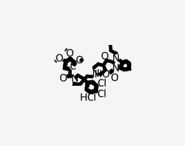 CCCN1c2ccccc2N(C(=O)O)C1C(=O)C1CCN(CCC2(c3ccc(Cl)c(Cl)c3)CCN(C(=O)c3cc(OC)c(OC)c(OC)c3)C2)CC1.Cl